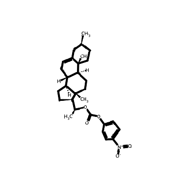 C[C@H]1CC[C@@]2(C)C(=CC[C@H]3[C@@H]4CC[C@H]([C@H](C)OC(=O)Oc5ccc([N+](=O)[O-])cc5)[C@@]4(C)CC[C@@H]32)C1